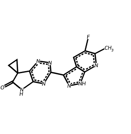 Cc1nc2[nH]nc(-c3nnc4c(n3)NC(=O)C43CC3)c2cc1F